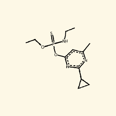 CCNP(=S)(OCC)Oc1cc(C)nc(C2CC2)n1